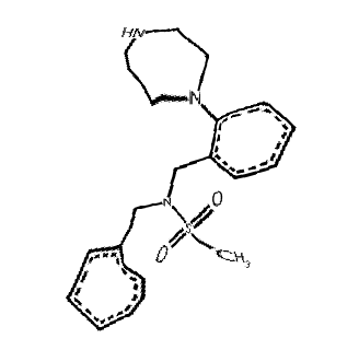 CS(=O)(=O)N(Cc1ccccc1)Cc1ccccc1N1CCNCC1